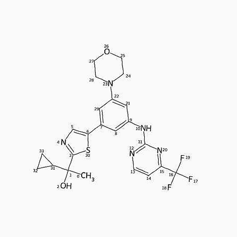 CC(O)(c1ncc(-c2cc(Nc3nccc(C(F)(F)F)n3)cc(N3CCOCC3)c2)s1)C1CC1